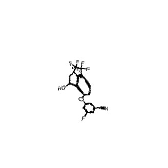 N#Cc1cc(F)cc(Oc2ccc3c4c2C(O)CC4(N)C(F)(F)C3(F)F)c1